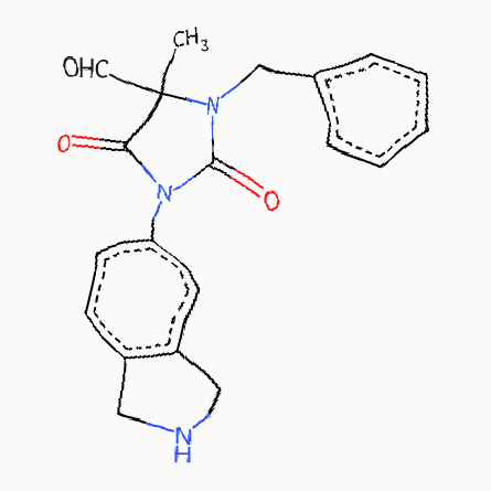 CC1(C=O)C(=O)N(c2ccc3c(c2)CNC3)C(=O)N1Cc1ccccc1